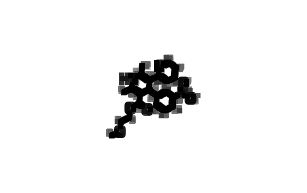 COCCOC(=O)C1=C(C)NC(C)=C(c2ccccn2)C1c1cccc([N+](=O)[O-])c1